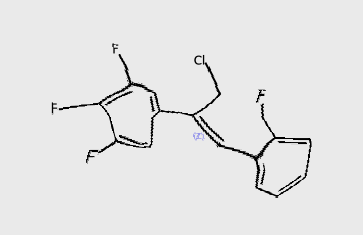 Fc1ccccc1/C=C(\CCl)c1cc(F)c(F)c(F)c1